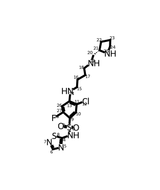 O=S(=O)(Nc1ncns1)c1cc(Cl)c(NCCCCNC[C@@H]2CCCN2)cc1F